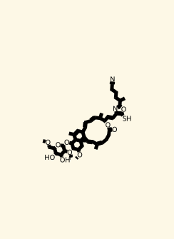 COCC1OC(OC2CC(OC)CC3C2C(C)=CC2/C=C/C=C/C(C)C(/C=C/c4nc(C(C)CCCC#N)oc4S)OC(=O)CC/C=C(C)\C=C\C23C)C(OF)C(O)C1O